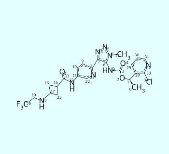 C[C@@H](OC(=O)Nc1c(-c2ccc(NC(=O)C3CC(NCC(F)(F)F)C3)cn2)nnn1C)c1cccnc1Cl